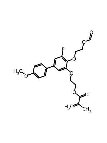 C=C(C)C(=O)OCCOc1cc(-c2ccc(OC)cc2)cc(F)c1OCCOC=O